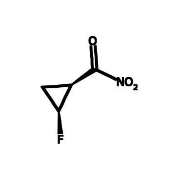 O=C([C@@H]1C[C@@H]1F)[N+](=O)[O-]